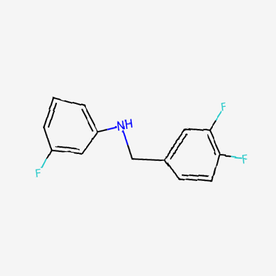 Fc1cccc(NCc2ccc(F)c(F)c2)c1